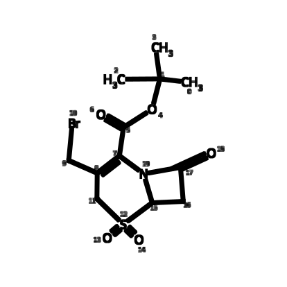 CC(C)(C)OC(=O)C1=C(CBr)CS(=O)(=O)C2CC(=O)N12